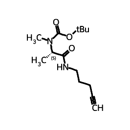 C#CCCCNC(=O)[C@H](C)N(C)C(=O)OC(C)(C)C